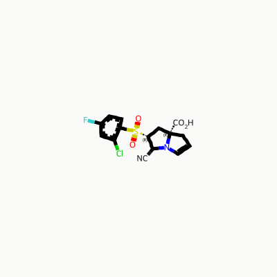 N#CC1[C@H](S(=O)(=O)c2ccc(F)cc2Cl)C[C@@]2(C(=O)O)CC=CN12